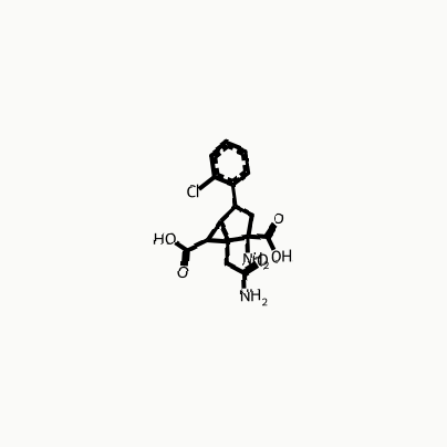 NC(=O)CC12C(C(=O)O)C1C(c1ccccc1Cl)CC2(N)C(=O)O